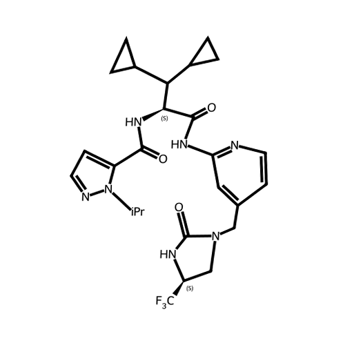 CC(C)n1nccc1C(=O)N[C@H](C(=O)Nc1cc(CN2C[C@@H](C(F)(F)F)NC2=O)ccn1)C(C1CC1)C1CC1